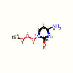 CC(C)(C)OOOn1ccc(N)nc1=O